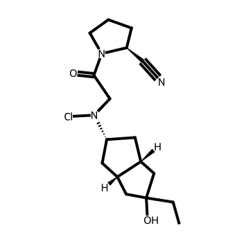 CCC1(O)C[C@H]2C[C@@H](N(Cl)CC(=O)N3CCC[C@H]3C#N)C[C@H]2C1